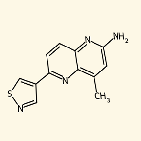 Cc1cc(N)nc2ccc(-c3cnsc3)nc12